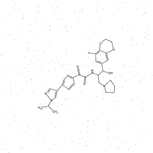 CC(C)n1cc(-c2ccc(C(=O)C(=O)NC(CN3CCCC3)C(O)c3cc(F)c4c(c3)OCCO4)cc2)cn1